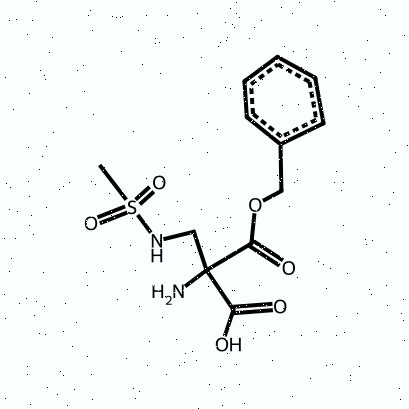 CS(=O)(=O)NCC(N)(C(=O)O)C(=O)OCc1ccccc1